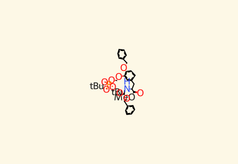 COC(=O)C(Cc1ccc(OCc2ccccc2)c(OCOP(=O)(OC(C)(C)C)OC(C)(C)C)c1)NC(=O)OCc1ccccc1